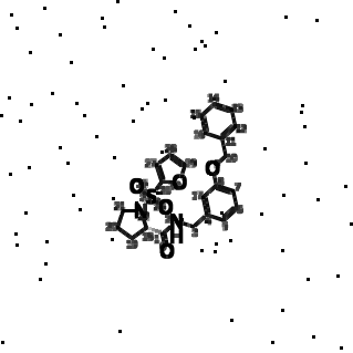 O=C(NCc1cccc(OCc2ccccc2)c1)[C@@H]1CCCN1S(=O)(=O)c1ccco1